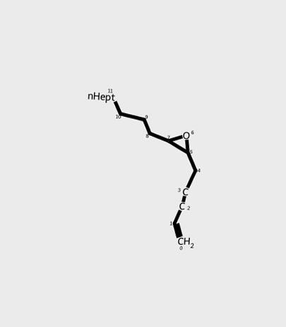 C=CCCCC1OC1CCCCCCCCCC